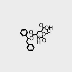 O=C(O)CCC(NC(=O)OCCl)C(=O)OC(Cc1ccccc1)c1ccccc1